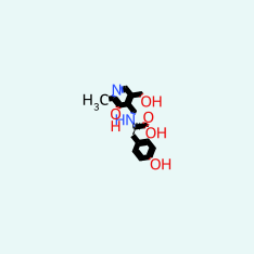 Cc1ncc(CO)c(CN[C@@H](Cc2ccc(O)cc2)C(=O)O)c1O